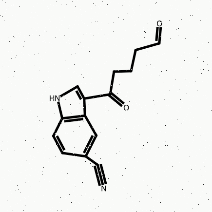 N#Cc1ccc2[nH]cc(C(=O)CCCC=O)c2c1